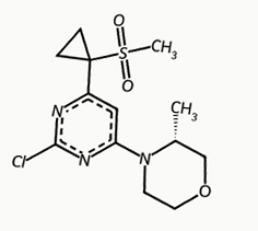 C[C@@H]1COCCN1c1cc(C2(S(C)(=O)=O)CC2)nc(Cl)n1